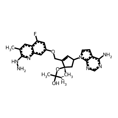 Cc1cc2c(F)cc(OCC3=CC(n4ccc5c(N)ncnc54)C[C@]3(C)OC(C)(C)O)cc2nc1NN